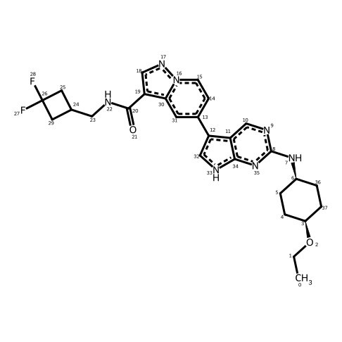 CCO[C@H]1CC[C@@H](Nc2ncc3c(-c4ccn5ncc(C(=O)NCC6CC(F)(F)C6)c5c4)c[nH]c3n2)CC1